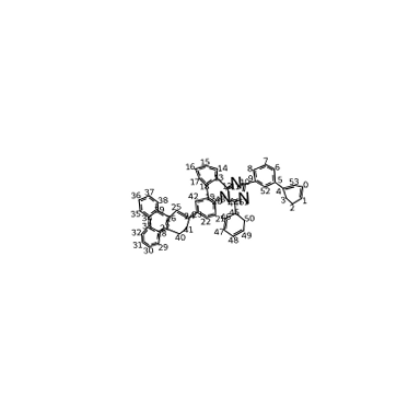 C1=CCCC(c2cccc(-c3nc(-c4ccccc4-c4cccc(C5=Cc6c(c7ccccc7c7ccccc67)CC5)c4)nc(C4C=CC=CC4)n3)c2)=C1